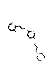 Fc1cccnc1/C=C/Sc1ccc(OCCCN2CCOCC2)cn1